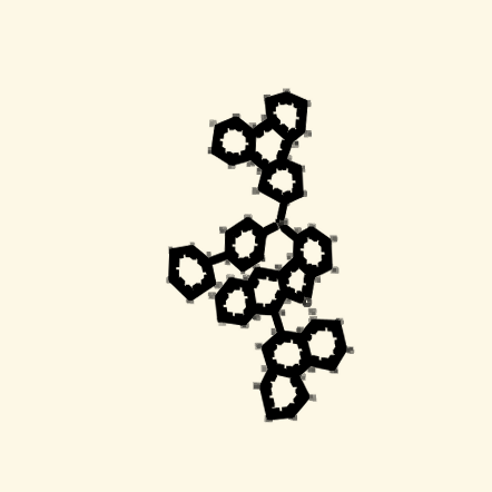 c1ccc(-c2ccc(N(c3ccc4c5ccccc5c5ccccc5c4c3)c3cccc4oc5c(-c6cc7ccccc7c7ccccc67)c6ccccc6cc5c34)cc2)cc1